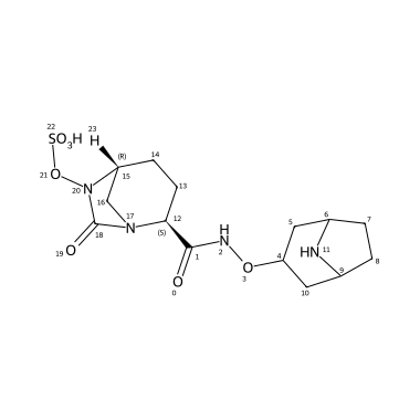 O=C(NOC1CC2CCC(C1)N2)[C@@H]1CC[C@@H]2CN1C(=O)N2OS(=O)(=O)O